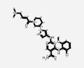 COc1cccc(Cl)c1Nc1nc(Nc2cnn([C@H]3CCCN(C(=O)/C=C/CN(C)C)C3)c2)ncc1C(N)=O